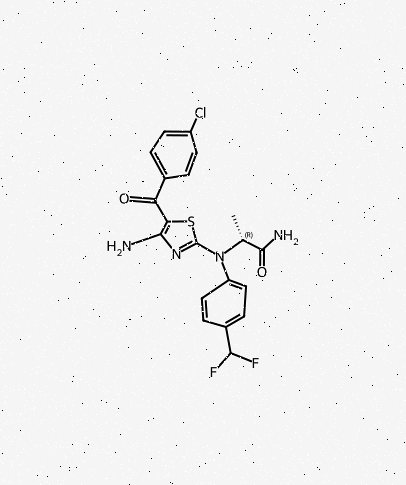 C[C@H](C(N)=O)N(c1ccc(C(F)F)cc1)c1nc(N)c(C(=O)c2ccc(Cl)cc2)s1